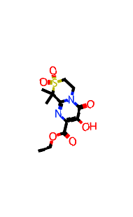 CCOC(=O)c1nc2n(c(=O)c1O)CCS(=O)(=O)C2(C)C